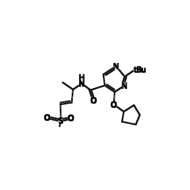 CC(/C=C/S(C)(=O)=O)NC(=O)c1cnc(C(C)(C)C)nc1OC1CCCC1